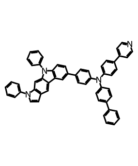 c1ccc(-c2ccc(N(c3ccc(-c4ccncc4)cc3)c3ccc(-c4ccc5c(c4)c4cc6ccn(-c7ccccc7)c6cc4n5-c4ccccc4)cc3)cc2)cc1